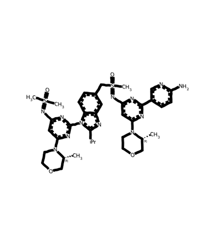 CC(C)c1nc2cc(CS(C)(=O)=Nc3cc(N4CCOC[C@H]4C)nc(-c4ccc(N)nc4)n3)ccc2n1-c1nc(N=S(C)(C)=O)cc(N2CCOC[C@H]2C)n1